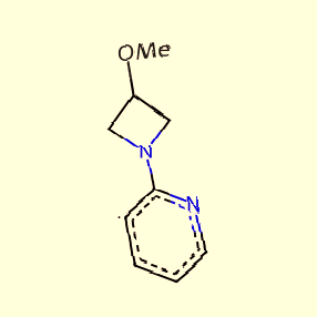 COC1CN(c2[c]cccn2)C1